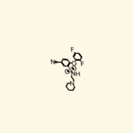 N#Cc1ccc(Oc2cc(F)ccc2F)c(S(=O)(=O)NCCN2CCCCC2)c1